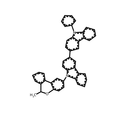 CC1Oc2ccc(-n3c4ccccc4c4cc(-c5ccc6c(c5)c5ccccc5n6-c5ccccc5)ccc43)cc2-c2ccccc21